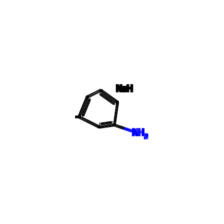 Nc1c[c]ccc1.[NaH]